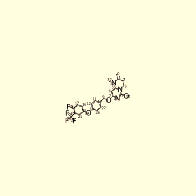 CC1CCn2c(cc(OCc3ccc(Oc4ccc(F)c(C(F)(F)F)c4)cc3)nc2=O)N1C